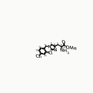 COC(=O)[C@@H](N)Cc1cn(Cc2ccc(Cl)cc2Cl)cn1